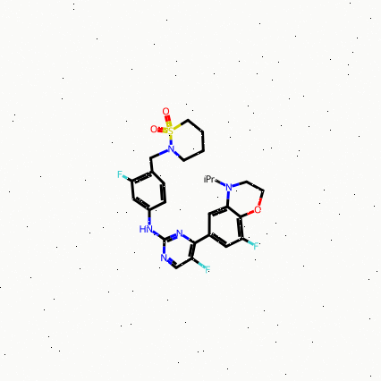 CC(C)N1CCOc2c(F)cc(-c3nc(Nc4ccc(CN5CCCCS5(=O)=O)c(F)c4)ncc3F)cc21